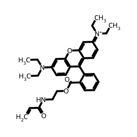 C=CC(=O)NCCOC(=O)c1ccccc1-c1c2ccc(=[N+](CC)CC)cc-2oc2cc(N(CC)CC)ccc12